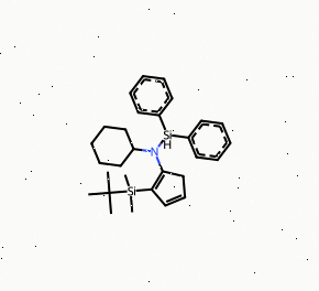 CC(C)(C)[Si](C)(C)C1=C(N(C2CCCCC2)[SiH](c2ccccc2)c2ccccc2)CC=C1